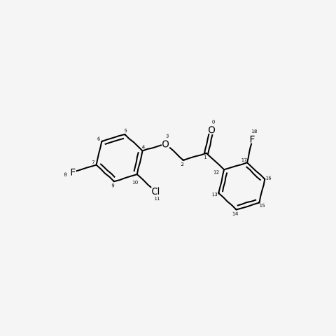 O=C(COc1ccc(F)cc1Cl)c1ccccc1F